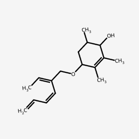 C=C/C=C\C(=C/C)COC1CC(C)C(O)C(C)=C1C